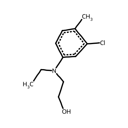 CCN(CCO)c1ccc(C)c(Cl)c1